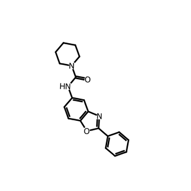 O=C(Nc1ccc2oc(-c3ccccc3)nc2c1)N1CCCCC1